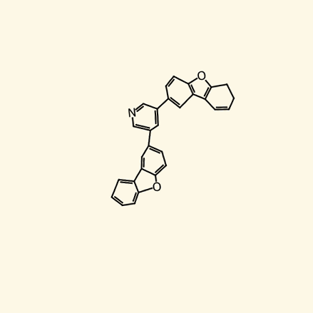 C1=Cc2c(oc3ccc(-c4cncc(-c5ccc6oc7ccccc7c6c5)c4)cc23)CC1